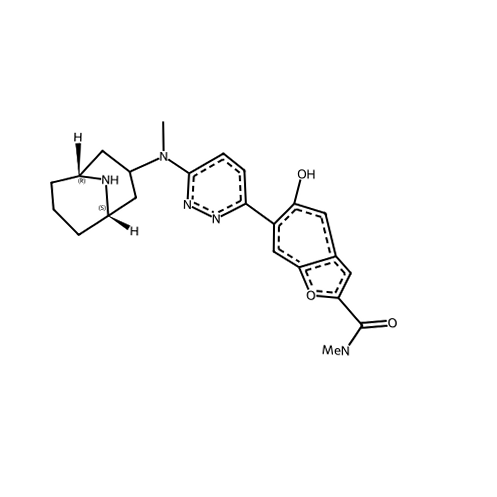 CNC(=O)c1cc2cc(O)c(-c3ccc(N(C)C4C[C@H]5CCC[C@@H](C4)N5)nn3)cc2o1